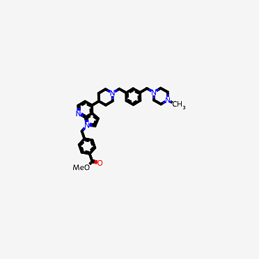 COC(=O)c1ccc(Cn2ccc3c(C4CCN(Cc5cccc(CN6CCN(C)CC6)c5)CC4)ccnc32)cc1